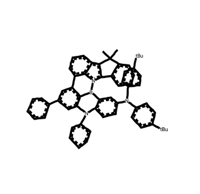 CC(C)(C)c1ccc(N(c2ccc(C(C)(C)C)cc2)c2ccc3c(c2)B2c4c(cc(-c5ccccc5)cc4N3c3ccccc3)-c3cccc4c5c(n2c34)-c2ccccc2C5(C)C)cc1